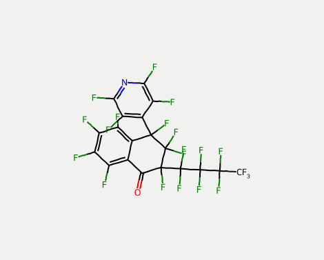 O=C1c2c(F)c(F)c(F)c(F)c2C(F)(c2c(F)c(F)nc(F)c2F)C(F)(F)C1(F)C(F)(F)C(F)(F)C(F)(F)C(F)(F)F